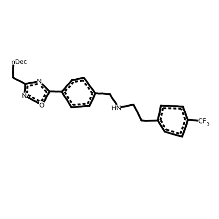 CCCCCCCCCCCc1noc(-c2ccc(CNCCc3ccc(C(F)(F)F)cc3)cc2)n1